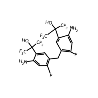 Nc1cc(F)c(Cc2cc(C(O)(C(F)(F)F)C(F)(F)F)c(N)cc2F)cc1C(O)(C(F)(F)F)C(F)(F)F